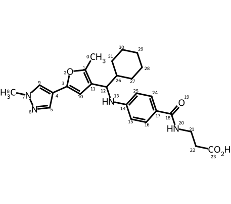 Cc1oc(-c2cnn(C)c2)cc1C(Nc1ccc(C(=O)NCCC(=O)O)cc1)C1CCCCC1